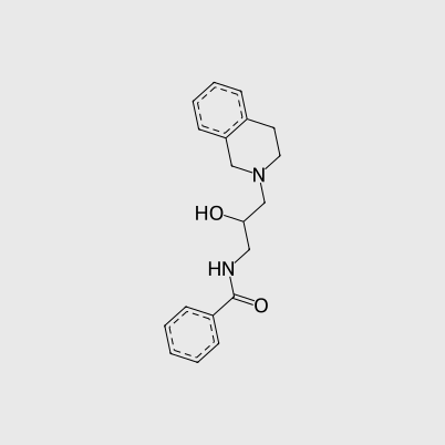 O=C(NCC(O)CN1CCc2ccccc2C1)c1ccccc1